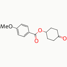 COc1ccc(C(=O)OC2CCC(=O)CC2)cc1